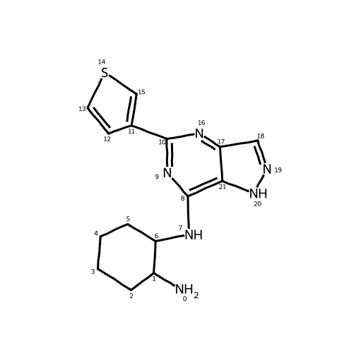 NC1CCCCC1Nc1nc(-c2ccsc2)nc2cn[nH]c12